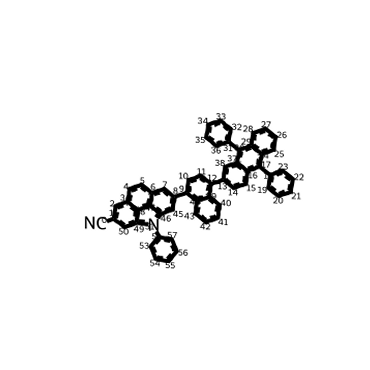 N#Cc1cc2ccc3cc(-c4ccc(-c5ccc6c(-c7ccccc7)c7ccccc7c(-c7ccccc7)c6c5)c5ccccc45)cc4c3c2c(c1)n4-c1ccccc1